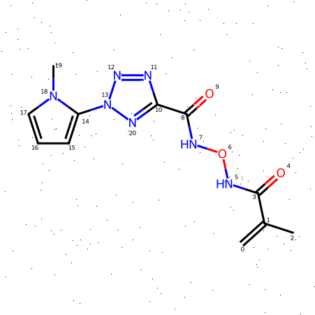 C=C(C)C(=O)NONC(=O)c1nnn(-c2cccn2C)n1